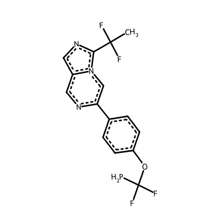 CC(F)(F)c1ncc2cnc(-c3ccc(OC(F)(F)P)cc3)cn12